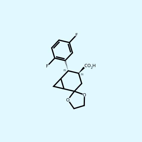 O=C(O)[C@H]1CC2(OCCO2)C2CC2[C@@H]1c1cc(F)ccc1F